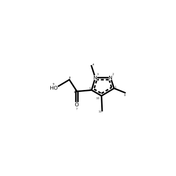 Cc1nn(C)c(C(=O)CO)c1C